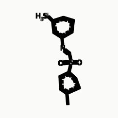 Cc1ccc(S(=O)(=O)C=Nc2cccc([SiH3])c2)cc1